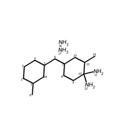 CC1CCCC(CC2CCC(N)(N)C(C)C2)C1.N.N